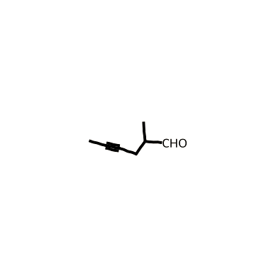 CC#CCC(C)C=O